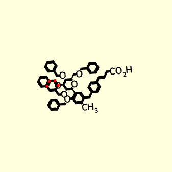 Cc1cc(OCc2ccccc2)c([C@@H]2O[C@H](COCc3ccccc3)[C@@H](OCc3ccccc3)[C@H](OCc3ccccc3)[C@H]2OCc2ccccc2)cc1Cc1ccc(/C=C/CC(=O)O)cc1